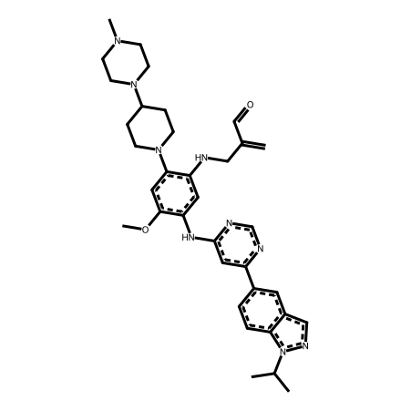 C=C(C=O)CNc1cc(Nc2cc(-c3ccc4c(cnn4C(C)C)c3)ncn2)c(OC)cc1N1CCC(N2CCN(C)CC2)CC1